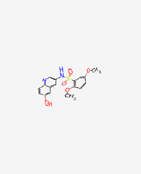 COc1ccc(OC)c(S(=O)(=O)Nc2cnc3ccc(O)cc3c2)c1